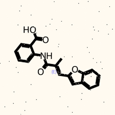 C/C(=C\c1cc2ccccc2o1)C(=O)Nc1ccccc1C(=O)O